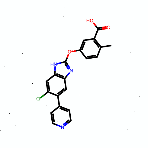 Cc1ccc(Oc2nc3cc(-c4ccncc4)c(Cl)cc3[nH]2)cc1C(=O)O